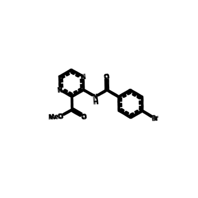 COC(=O)c1nccnc1NC(=O)c1ccc(Br)cc1